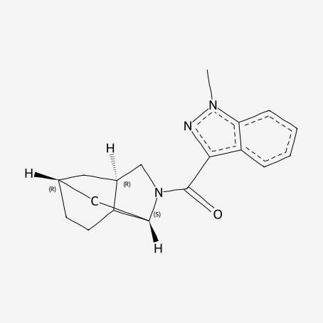 Cn1nc(C(=O)N2C[C@@H]3C[C@H]4CCC3[C@@H]2C4)c2ccccc21